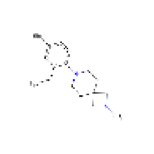 CN1CC2(CCN(c3ccc(C(C)(C)C)cc3CC(F)(F)F)CC2)C1